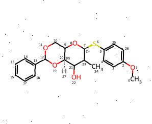 COc1ccc(S[C@@H]2OC3COC(c4ccccc4)O[C@@H]3C(O)C2C)cc1